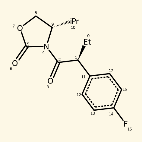 CC[C@H](C(=O)N1C(=O)OC[C@@H]1C(C)C)c1ccc(F)cc1